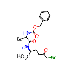 CCC(C)C(NC(=O)OCc1ccccc1)C(=O)NC(CCC(=O)CBr)C(=O)O